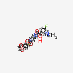 CN1Cc2c(F)ccc(C(O)C(=O)N3CC4=C(C3)CN(S(=O)(=O)c3ccc5c(c3)OCCO5)C4)c2C1